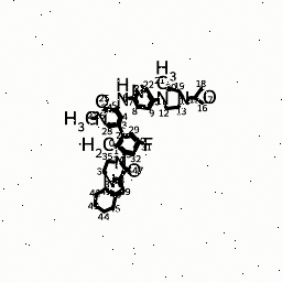 [CH2]c1c(-c2cc(Nc3ccc(N4CCN(C5COC5)C[C@@H]4C)cn3)c(=O)n(C)c2)cc(F)cc1N1CCn2c(cc3c2CCCC3)C1=O